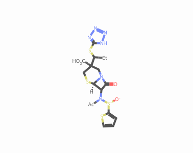 CCC(Sc1nnn[nH]1)C1(C(=O)O)CS[C@@H]2C(N(C(C)=O)[S+]([O-])c3cccs3)C(=O)N2C1